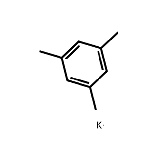 Cc1cc(C)cc(C)c1.[K]